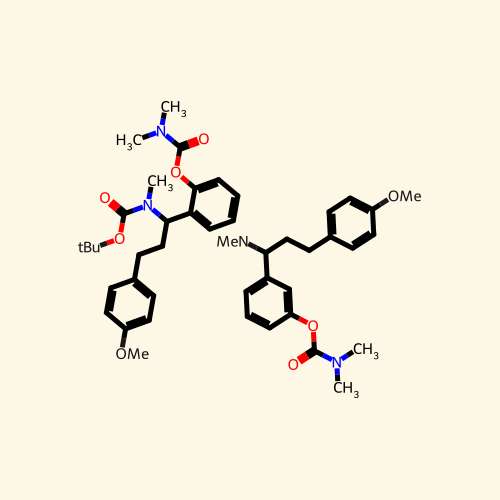 CNC(CCc1ccc(OC)cc1)c1cccc(OC(=O)N(C)C)c1.COc1ccc(CCC(c2ccccc2OC(=O)N(C)C)N(C)C(=O)OC(C)(C)C)cc1